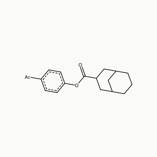 CC(=O)c1ccc(OC(=O)C2CC3CCCC(C3)C2)cc1